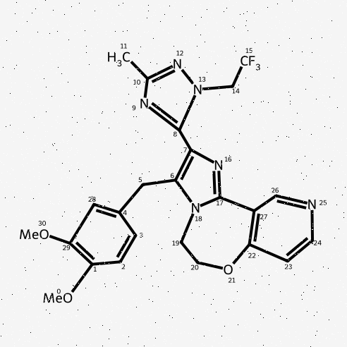 COc1ccc(Cc2c(-c3nc(C)nn3CC(F)(F)F)nc3n2CCOc2c[c]ncc2-3)cc1OC